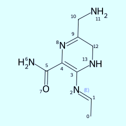 C/C=N/C1=C(C(N)=O)N=C(CN)CN1